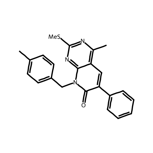 CSc1nc(C)c2cc(-c3ccccc3)c(=O)n(Cc3ccc(C)cc3)c2n1